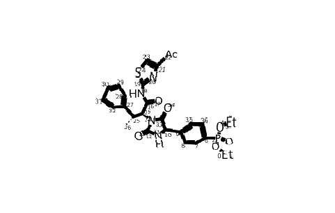 CCOP(=O)(OCC)c1ccc(C2NC(=O)N([C@H](C(=O)Nc3nc(C(C)=O)cs3)[C@H](C)c3ccccc3)C2=O)cc1